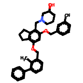 Cc1c(COc2cc(OCc3cccc(C#N)c3)c(CN3CCCC(O)C3)c3c2CCC3)cccc1-c1ccccc1